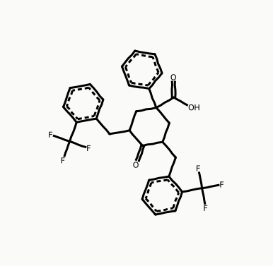 O=C1C(Cc2ccccc2C(F)(F)F)CC(C(=O)O)(c2ccccc2)CC1Cc1ccccc1C(F)(F)F